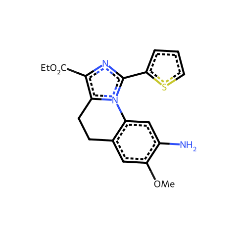 CCOC(=O)c1nc(-c2cccs2)n2c1CCc1cc(OC)c(N)cc1-2